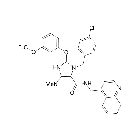 CNC1=C(C(=O)NCc2ccnc3c2C=CCC3)N(Cc2ccc(Cl)cc2)C(Oc2cccc(OC(F)(F)F)c2)N1